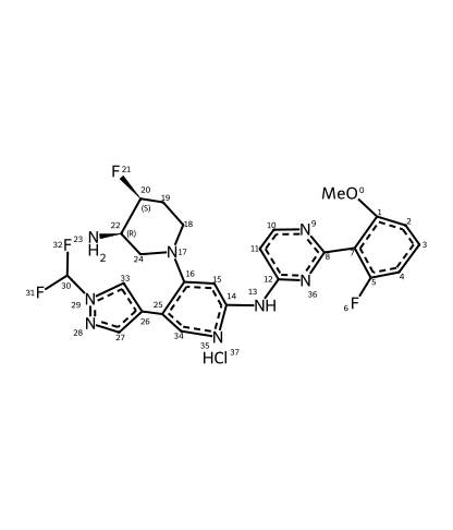 COc1cccc(F)c1-c1nccc(Nc2cc(N3CC[C@H](F)[C@H](N)C3)c(-c3cnn(C(F)F)c3)cn2)n1.Cl